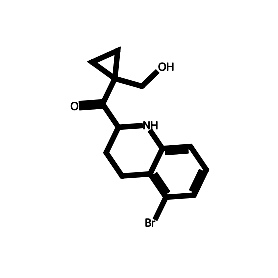 O=C(C1CCc2c(Br)cccc2N1)C1(CO)CC1